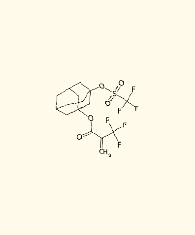 C=C(C(=O)OC12CC3CC(C1)CC(OS(=O)(=O)C(F)(F)F)(C3)C2)C(F)(F)F